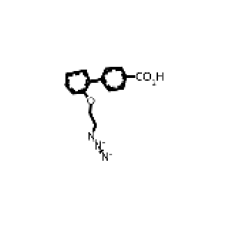 [N-]=[N+]=NCCOc1ccccc1-c1ccc(C(=O)O)cc1